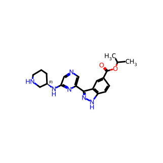 CC(C)OC(=O)c1ccc2[nH]nc(-c3cncc(N[C@@H]4CCCNC4)n3)c2c1